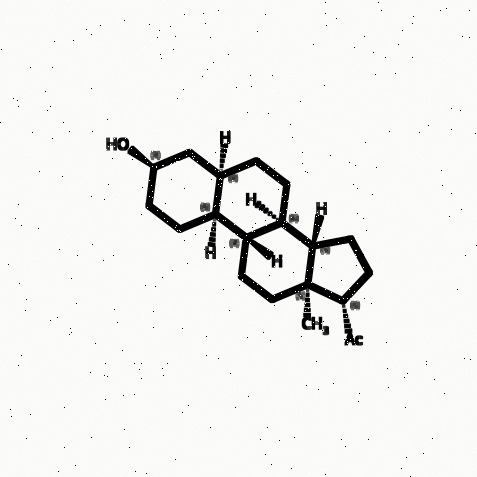 CC(=O)[C@H]1CC[C@H]2[C@@H]3CC[C@@H]4C[C@H](O)CC[C@@H]4[C@H]3CC[C@]12C